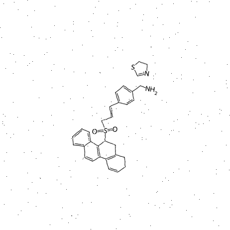 C1=NCCS1.NCc1ccc(C=CCS(=O)(=O)C2CC3=C(C=CCC3)c3ccc4ccccc4c32)cc1